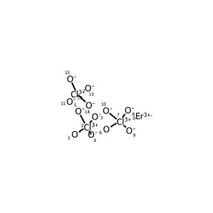 [Er+3].[O-][Cl+3]([O-])([O-])[O-].[O-][Cl+3]([O-])([O-])[O-].[O-][Cl+3]([O-])([O-])[O-]